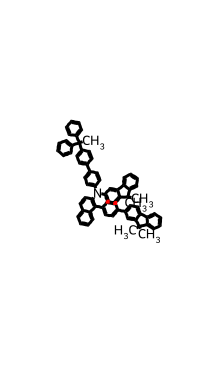 CC1(C)c2ccccc2-c2cc(N(c3ccc(-c4ccc(C(C)(c5ccccc5)c5ccccc5)cc4)cc3)c3ccc4ccccc4c3-c3ccc(-c4ccc5c(c4)C(C)(C)c4ccccc4-5)cc3)ccc21